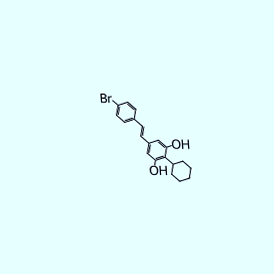 Oc1cc(C=Cc2ccc(Br)cc2)cc(O)c1C1CCCCC1